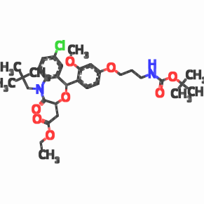 CCOC(=O)CC1OC(c2ccc(OCCCNC(=O)OC(C)(C)C)cc2OC)c2cc(Cl)ccc2N(CC(C)(C)C)C1=O